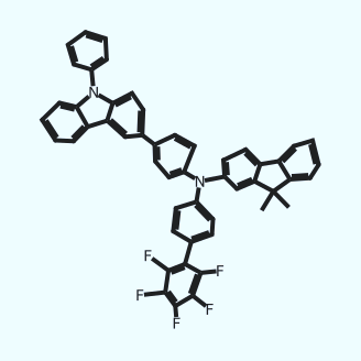 CC1(C)c2ccccc2-c2ccc(N(c3ccc(-c4ccc5c(c4)c4ccccc4n5-c4ccccc4)cc3)c3ccc(-c4c(F)c(F)c(F)c(F)c4F)cc3)cc21